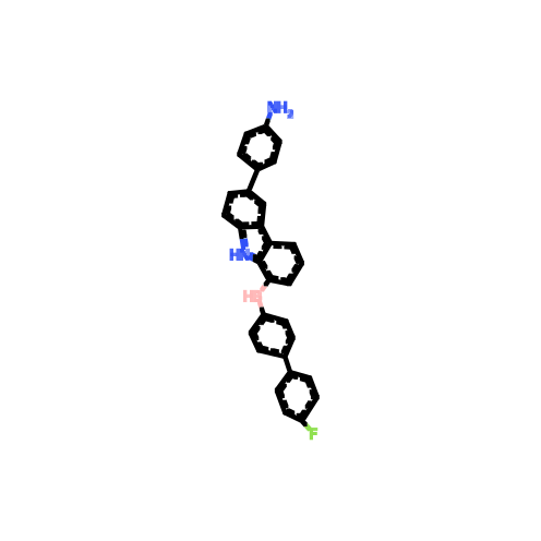 Nc1ccc(-c2ccc3[nH]c4c(Bc5ccc(-c6ccc(F)cc6)cc5)cccc4c3c2)cc1